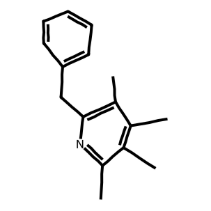 Cc1nc(Cc2ccccc2)c(C)c(C)c1C